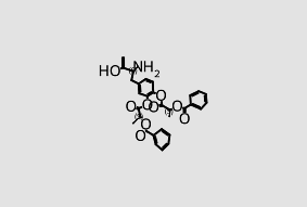 C=C(O)[C@@H](N)Cc1ccc(OC(=O)[C@H](C)OC(=O)c2ccccc2)c(OC(=O)[C@H](C)OC(=O)c2ccccc2)c1